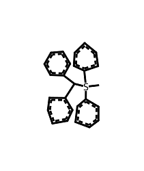 CS(c1ccccc1)(c1ccccc1)C(c1ccccc1)c1ccccc1